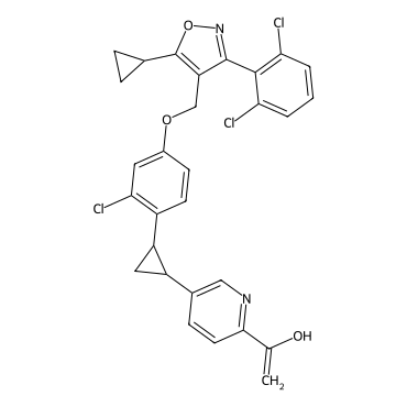 C=C(O)c1ccc(C2CC2c2ccc(OCc3c(-c4c(Cl)cccc4Cl)noc3C3CC3)cc2Cl)cn1